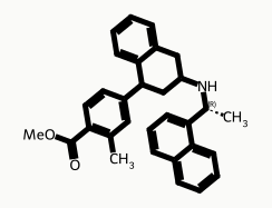 COC(=O)c1ccc(C2CC(N[C@H](C)c3cccc4ccccc34)Cc3ccccc32)cc1C